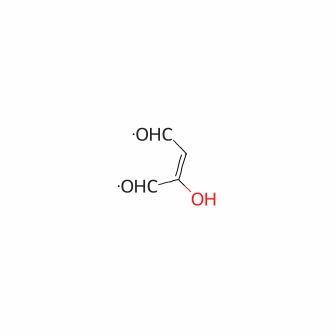 O=[C]/C=C(/O)[C]=O